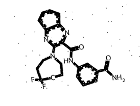 NC(=O)c1cccc(NC(=O)c2nc3ccccc3nc2N2CCCC(F)(F)CC2)c1